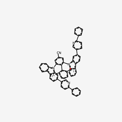 N#Cc1cc(-n2c3ccccc3c3ccc(-c4ccc(-c5ccccc5)nc4)cc32)c(-c2c(C(F)(F)F)cccc2C(F)(F)F)c(-n2c3ccccc3c3ccc(-c4ccc(-c5ccccc5)nc4)cc32)c1